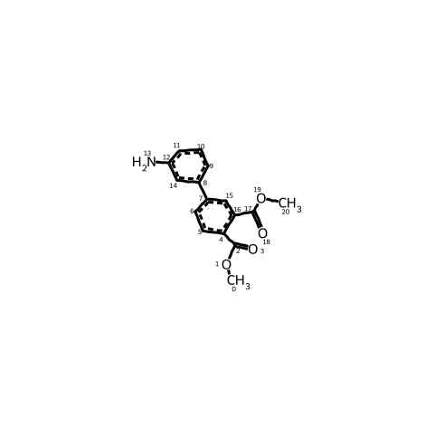 COC(=O)c1ccc(-c2cccc(N)c2)cc1C(=O)OC